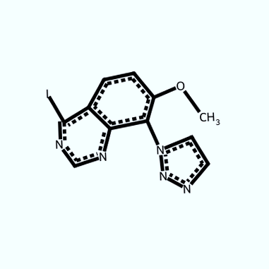 COc1ccc2c(I)ncnc2c1-n1ccnn1